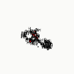 CC[C@H](C)[C@@H]1NC(=O)CNC(=O)[C@@H]2Cc3c([nH]c4ccccc34)SC[C@H](NC(=O)CNC1=O)C(=O)N[C@@H](CC(N)=O)C(=O)N1C[C@H](NC(=O)OCc3ccc(NC(=O)[C@H](C)NC(=O)[C@@H](NC(=O)C(C)(C)CC(C)(C)CN4C(=O)C=CC4=O)C(C)C)cc3)C[C@H]1C(=O)N[C@@H]([C@@H](C)C(O)CO)C(=O)N2